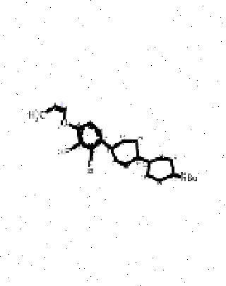 C/C=C\Oc1ccc(C2CCC(C3CCC(CCCC)CC3)CC2)c(F)c1F